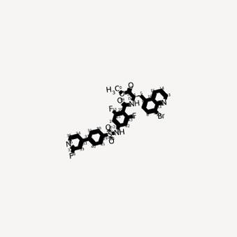 COC(=O)[C@H](Cc1ccc(Br)c2ncccc12)NC(=O)c1c(F)cc(NS(=O)(=O)c2ccc(-c3ccnc(F)c3)cc2)cc1F